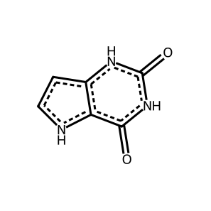 O=c1[nH]c(=O)c2[nH]ccc2[nH]1